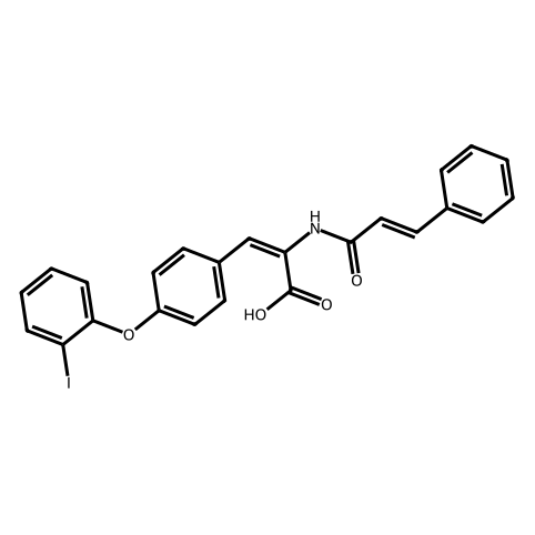 O=C(C=Cc1ccccc1)NC(=Cc1ccc(Oc2ccccc2I)cc1)C(=O)O